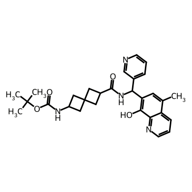 Cc1cc(C(NC(=O)C2CC3(CC(NC(=O)OC(C)(C)C)C3)C2)c2cccnc2)c(O)c2ncccc12